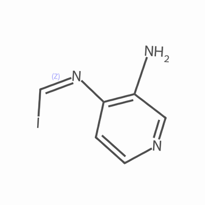 Nc1cnccc1/N=C\I